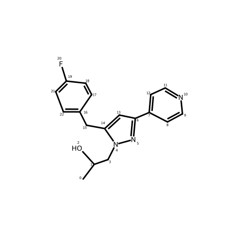 CC(O)Cn1nc(-c2ccncc2)cc1Cc1ccc(F)cc1